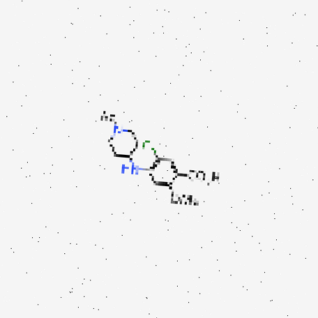 COc1cc(NC2CCN(C(C)=O)CC2)c(Cl)cc1C(=O)O